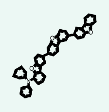 c1ccc(N(c2ccccc2)c2cccc3c2oc2ccc(-c4ccc5c(c4)oc4ccc(-c6ccc7oc8ccccc8c7c6)cc45)cc23)cc1